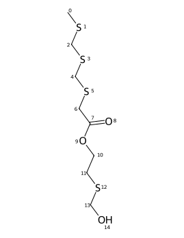 CSCSCSCC(=O)OCCSCO